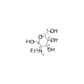 CCN(C)C1C(O)OC(CO)C(O)C1O